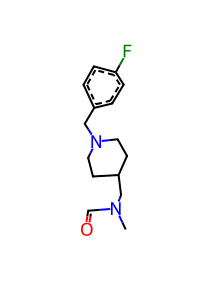 CN(C=O)CC1CCN(Cc2ccc(F)cc2)CC1